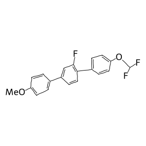 COc1ccc(-c2ccc(-c3ccc(OC(F)F)cc3)c(F)c2)cc1